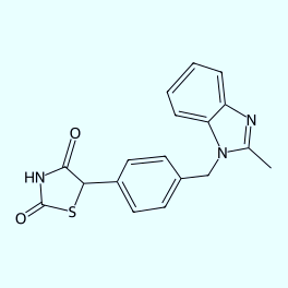 Cc1nc2ccccc2n1Cc1ccc(C2SC(=O)NC2=O)cc1